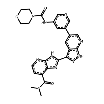 CN(C)C(=O)c1ccnc2[nH]c(-c3n[nH]c4ncc(-c5cncc(NC(=O)N6CCOCC6)c5)cc34)nc12